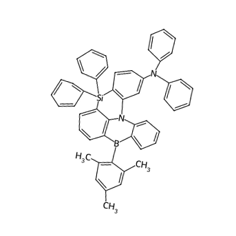 Cc1cc(C)c(B2c3ccccc3N3c4cc(N(c5ccccc5)c5ccccc5)ccc4[Si](c4ccccc4)(c4ccccc4)c4cccc2c43)c(C)c1